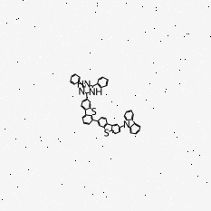 c1ccc(C2=NC(c3ccc4c(c3)sc3c(-c5ccc6c(c5)sc5ccc(-n7c8ccccc8c8ccccc87)cc56)cccc34)NC(c3ccccc3)N2)cc1